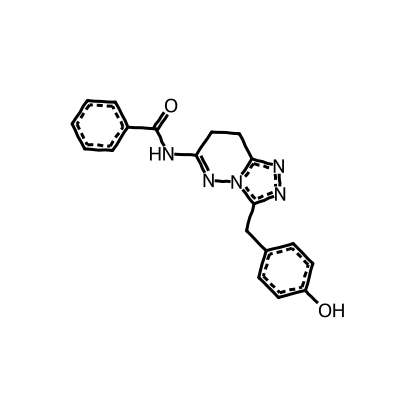 O=C(NC1=Nn2c(nnc2Cc2ccc(O)cc2)CC1)c1ccccc1